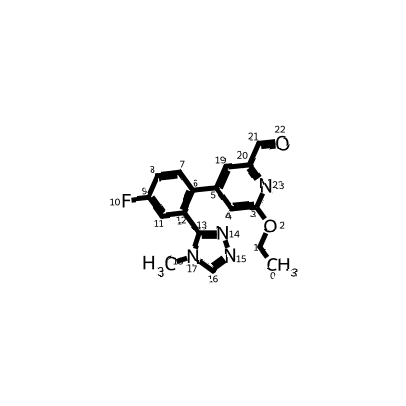 CCOc1cc(-c2ccc(F)cc2-c2nncn2C)cc(C=O)n1